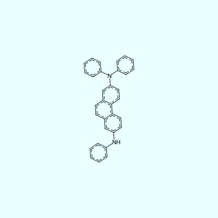 c1ccc(Nc2ccc3c(ccc4cc(N(c5ccccc5)c5ccccc5)ccc43)c2)cc1